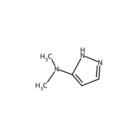 CN(C)c1ccn[nH]1